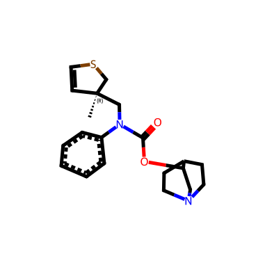 C[C@]1(CN(C(=O)OC2CN3CCC2CC3)c2ccccc2)C=CSC1